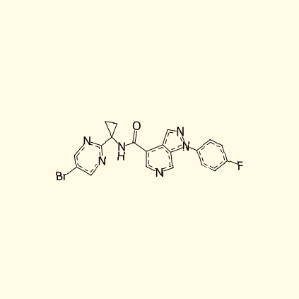 O=C(NC1(c2ncc(Br)cn2)CC1)c1cncc2c1cnn2-c1ccc(F)cc1